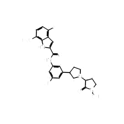 Cc1ccc(F)c2cc(C(=O)Nc3cc(F)cc(C4CCN(C5CCN(C)C5=O)C4)c3)[nH]c12